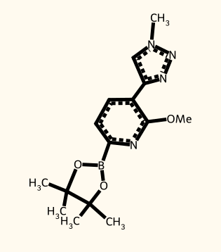 COc1nc(B2OC(C)(C)C(C)(C)O2)ccc1-c1cn(C)nn1